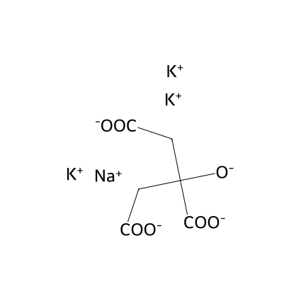 O=C([O-])CC([O-])(CC(=O)[O-])C(=O)[O-].[K+].[K+].[K+].[Na+]